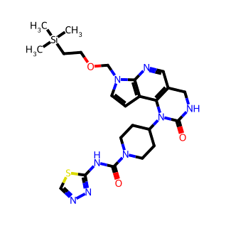 C[Si](C)(C)CCOCn1ccc2c3c(cnc21)CNC(=O)N3C1CCN(C(=O)Nc2nncs2)CC1